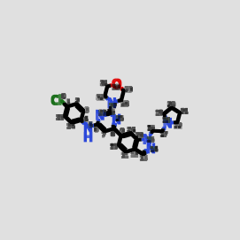 Clc1ccc(Nc2cc(-c3ccc4cnn(CCN5CCCC5)c4c3)nc(N3CCOCC3)n2)cc1